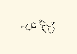 C=C(c1ccc2c(c1)C(O)CCO2)c1nc2cc(F)ccc2s1